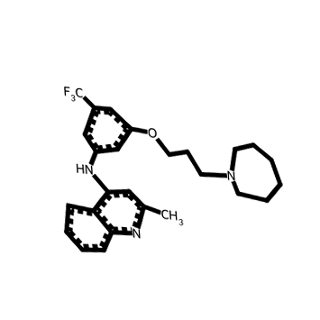 Cc1cc(Nc2cc(OCCCN3CCCCCC3)cc(C(F)(F)F)c2)c2ccccc2n1